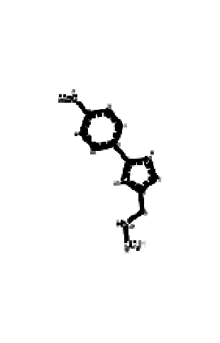 COc1ccc(-c2ncc(CNC(=O)O)s2)cc1